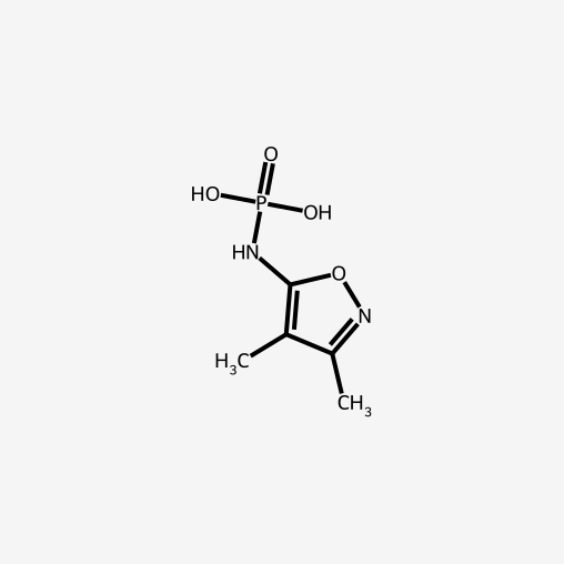 Cc1noc(NP(=O)(O)O)c1C